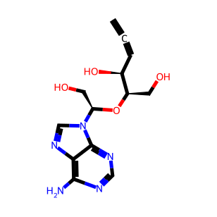 C=C=C[C@H](O)[C@@H](CO)O[C@H](CO)n1cnc2c(N)ncnc21